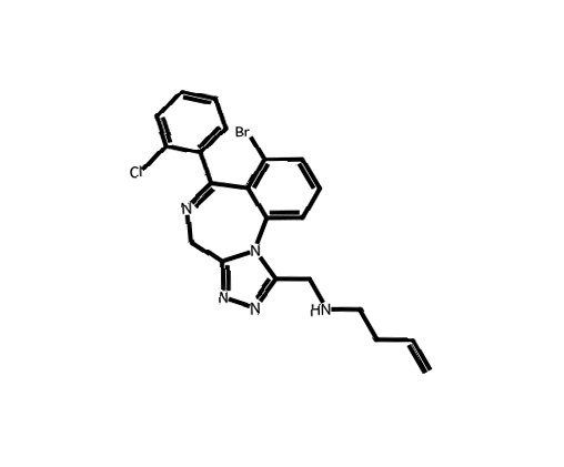 C=CCCNCc1nnc2n1-c1cccc(Br)c1C(c1ccccc1Cl)=NC2